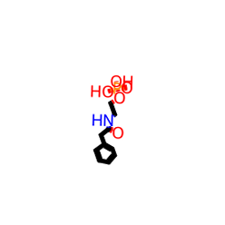 O=C(Cc1ccccc1)NCCOP(=O)(O)O